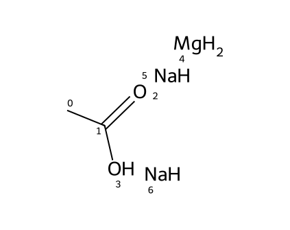 CC(=O)O.[MgH2].[NaH].[NaH]